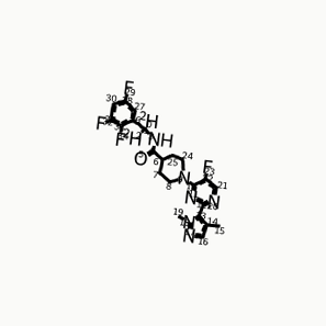 [2H]C([2H])(NC(=O)C1CCN(c2nc(-c3c(C)cnn3C)ncc2F)CC1)c1cc(F)cc(F)c1F